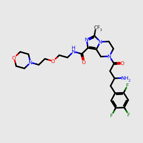 NC(CC(=O)N1CCn2c(C(F)(F)F)nc(C(=O)NCCOCCN3CCOCC3)c2C1)Cc1cc(F)c(F)cc1F